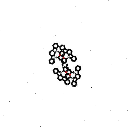 C1=CC2c3ccccc3N(c3ccccc3)C2c2c1c1ccccc1n2-c1cc(-c2cnc(-c3cc(-n4c5ccccc5c5ccc6c7ccccc7n(-c7ccccc7)c6c54)cc(-n4c5ccccc5c5ccc6c7ccccc7n(-c7ccccc7)c6c54)c3)cn2)cc(-n2c3ccccc3c3ccc4c5ccccc5n(-c5ccccc5)c4c32)c1